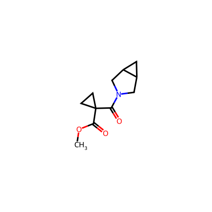 COC(=O)C1(C(=O)N2CC3CC3C2)CC1